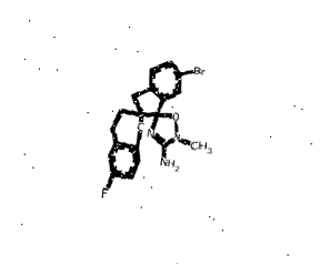 CN1OC2(N=C1N)c1cc(Br)ccc1CC21CCc2cc(F)ccc2C1